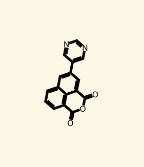 O=C1OC(=O)c2cc(-c3cncnc3)cc3cccc1c23